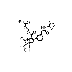 C[C@@H](O)[C@H]1C(=O)N2C(C(=O)OCOC(=O)C(C)(C)C)=C(c3cccc(CC(=O)NC4=NCCS4)c3)C[C@H]12